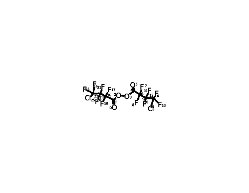 O=C(OOC(=O)C(F)(F)C(F)(F)C(F)(F)Cl)C(F)(F)C(F)(F)C(F)(F)Cl